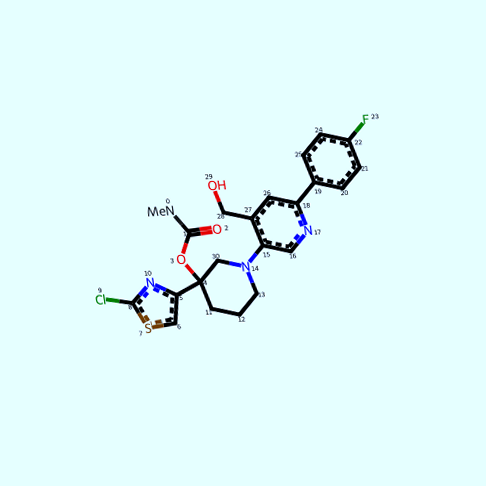 CNC(=O)OC1(c2csc(Cl)n2)CCCN(c2cnc(-c3ccc(F)cc3)cc2CO)C1